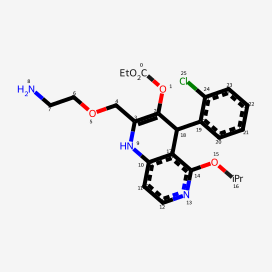 CCOC(=O)OC1=C(COCCN)Nc2ccnc(OC(C)C)c2C1c1ccccc1Cl